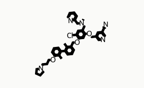 Cc1c(COc2cc(OCc3cncc(C#N)c3)c(CN(C)Cc3ccccn3)cc2Cl)cccc1-c1cccc(OCCCN2CCCC2)c1C